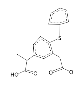 COC(=O)Cc1cc(C(C)C(=O)O)ccc1Sc1ccccc1